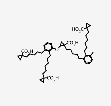 Cc1cccc(CCCCCC2(C(=O)O)CC2Oc2cccc(CCCCCC3(C(=O)O)CC3)c2CCCCCCC2(C(=O)O)CC2)c1CCCCCCC1(C(=O)O)CC1